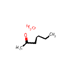 CCCCC(C)=O.O